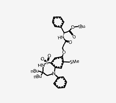 CCCCC1(CCCC)CN(c2ccccc2)c2cc(SC)c(OCC(=O)N[C@@H](C(=O)OC(C)(C)C)c3ccccc3)cc2S(=O)(=O)N1